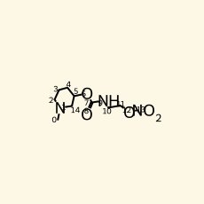 CN1CCCC(OC(=O)NCCO[N+](=O)[O-])C1